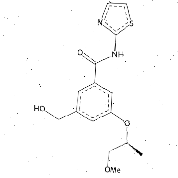 COC[C@H](C)Oc1cc(CO)cc(C(=O)Nc2nccs2)c1